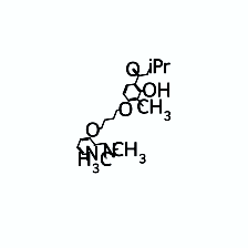 Cc1c(OCCCCOc2cccnc2CN(C)C)ccc(C(=O)CC(C)C)c1O